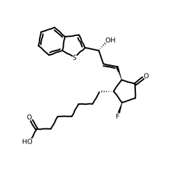 O=C(O)CCCCCC[C@H]1[C@H](F)CC(=O)[C@@H]1/C=C/[C@@H](O)c1cc2ccccc2s1